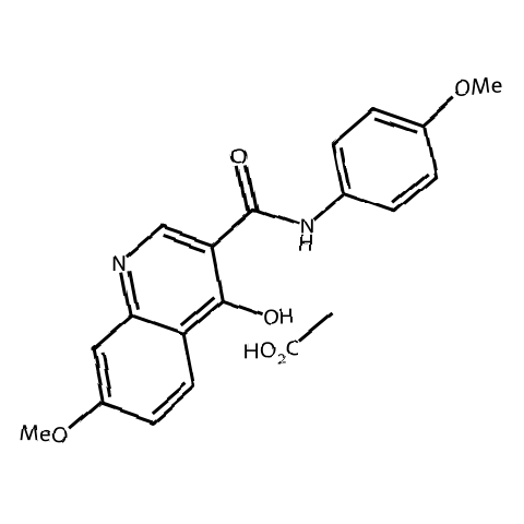 CC(=O)O.COc1ccc(NC(=O)c2cnc3cc(OC)ccc3c2O)cc1